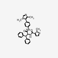 Cc1ncn(C)c1-c1ccc(NC(=O)C(NC(=O)c2ccnn2C)C(c2ccccc2)c2ccccc2)cc1